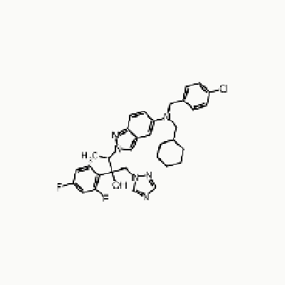 C[C@@H](n1cc2cc(N(Cc3ccc(Cl)cc3)CC3CCCCC3)ccc2n1)[C@](O)(Cn1cncn1)c1ccc(F)cc1F